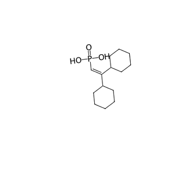 O=P(O)(O)C=C(C1CCCCC1)C1CCCCC1